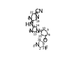 CN1CC(F)C(Oc2cccc(-n3cnc(Nc4cnc(C#N)cn4)c3)c2)C1